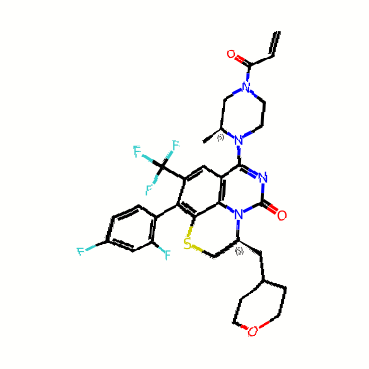 C=CC(=O)N1CCN(c2nc(=O)n3c4c(c(-c5ccc(F)cc5F)c(C(F)(F)F)cc24)SC[C@@H]3CC2CCOCC2)[C@@H](C)C1